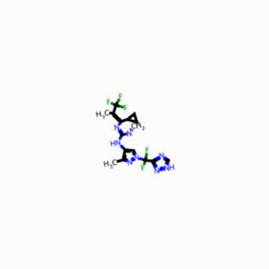 C=N/C(=N\C(=C(/C)C(F)(F)F)C1CC1)Nc1cn(C(F)(F)c2nc[nH]n2)nc1C